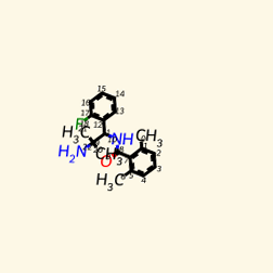 Cc1cccc(C)c1C(=O)NC(c1ccccc1F)C(C)(C)N